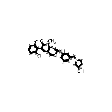 Cn1c(=O)c(-c2c(Cl)cccc2Cl)cc2cnc(Nc3cccc(CN4CC[C@@H](O)C4)c3)nc21